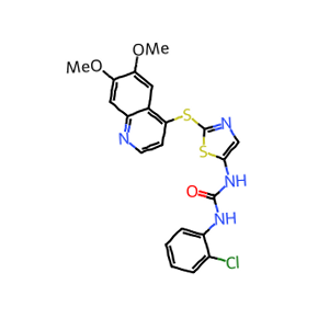 COc1cc2nccc(Sc3ncc(NC(=O)Nc4ccccc4Cl)s3)c2cc1OC